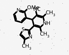 [C-]#[N+]C1=C(C)NC(C)=C(c2nc(C)cs2)C1c1cccnc1OC